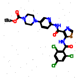 CC(C)(C)OC(=O)N1CCN(c2ccc(NC(=O)c3ncsc3NC(=O)c3c(Cl)cc(Cl)cc3Cl)nc2)CC1